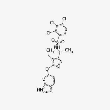 CCn1c(Oc2ccc3cc[nH]c3c2)nnc1[C@@H](C)NS(=O)(=O)c1ccc(Cl)c(Cl)c1Cl